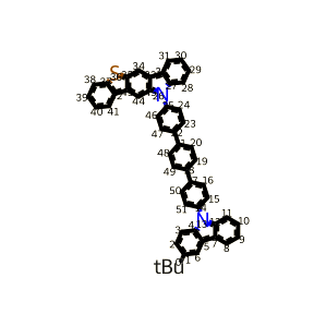 CC(C)(C)c1ccc2c(c1)c1ccccc1n2-c1ccc(-c2ccc(-c3ccc(-n4c5ccccc5c5cc6sc7ccccc7c6cc54)cc3)cc2)cc1